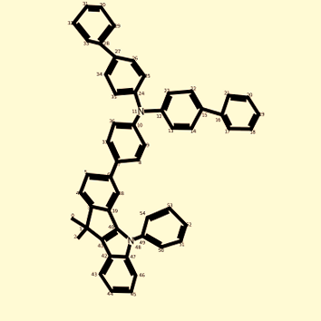 CC1(C)c2ccc(-c3ccc(N(c4ccc(-c5ccccc5)cc4)c4ccc(-c5ccccc5)cc4)cc3)cc2-c2c1c1ccccc1n2-c1ccccc1